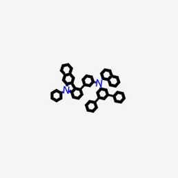 c1ccc(-c2cc(-c3ccccc3)cc(N(c3cccc(-c4cccc5c4c4cc6ccccc6cc4n5-c4ccccc4)c3)c3cccc4ccccc34)c2)cc1